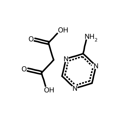 Nc1ncncn1.O=C(O)CC(=O)O